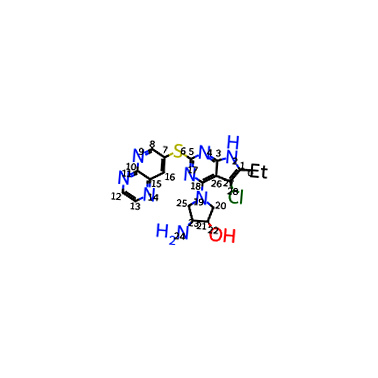 CCc1[nH]c2nc(Sc3cnc4nccnc4c3)nc(N3C[C@@H](O)[C@@H](N)C3)c2c1Cl